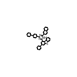 c1ccc(-c2ccc(C3=NC(c4cc(-c5ccccc5)cc5sc6ccccc6c45)NC(c4ccc5ccccc5c4)=N3)cc2)cc1